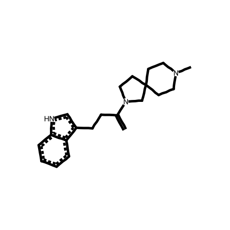 C=C(CCc1c[nH]c2ccccc12)N1CCC2(CCN(C)CC2)C1